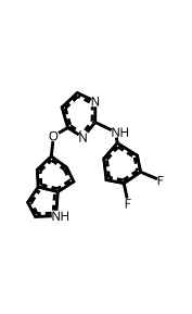 Fc1ccc(Nc2nccc(Oc3ccc4[nH]ccc4c3)n2)cc1F